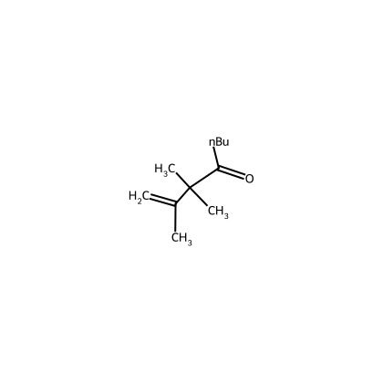 C=C(C)C(C)(C)C(=O)CCCC